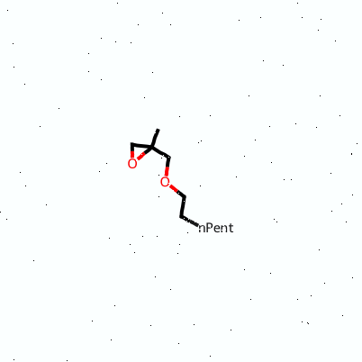 CCCCCCCOCC1(C)CO1